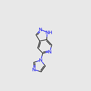 c1cn(-c2cc3cn[nH]c3cn2)cn1